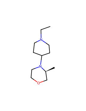 CCN1CCC(N2CCOC[C@@H]2C)CC1